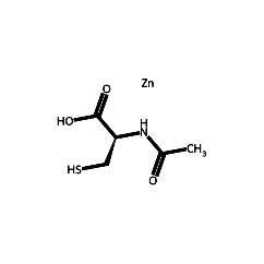 CC(=O)N[C@@H](CS)C(=O)O.[Zn]